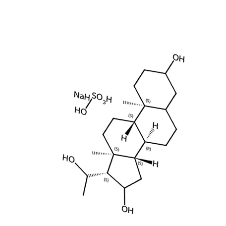 CC(O)[C@H]1C(O)C[C@H]2[C@@H]3CCC4CC(O)CC[C@]4(C)[C@H]3CC[C@]12C.O=S(=O)(O)O.[NaH]